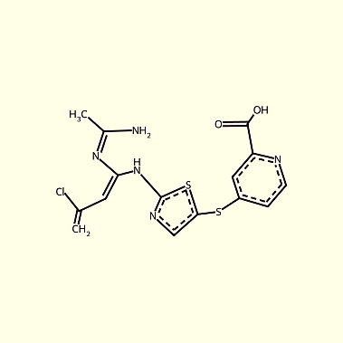 C=C(Cl)/C=C(\N=C(\C)N)Nc1ncc(Sc2ccnc(C(=O)O)c2)s1